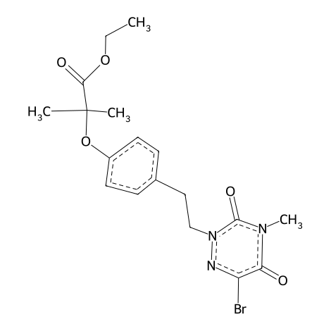 CCOC(=O)C(C)(C)Oc1ccc(CCn2nc(Br)c(=O)n(C)c2=O)cc1